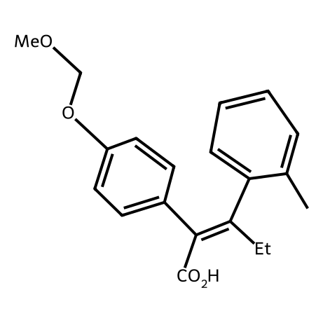 CCC(=C(C(=O)O)c1ccc(OCOC)cc1)c1ccccc1C